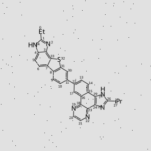 CCc1nc2c(ccc3c4ccc(-c5ccc6c(c5)c5nccnc5c5nc(C(C)C)[nH]c65)cc4sc32)[nH]1